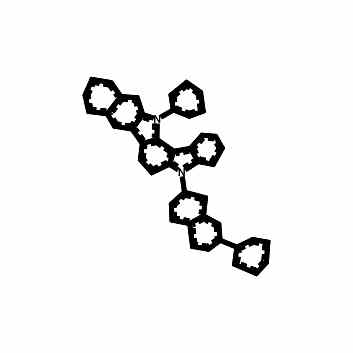 c1ccc(-c2ccc3ccc(-n4c5ccccc5c5c4ccc4c6cc7ccccc7cc6n(-c6ccccc6)c45)cc3c2)cc1